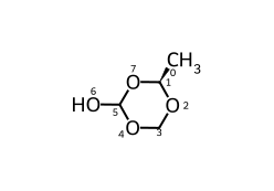 C[C@H]1OCOC(O)O1